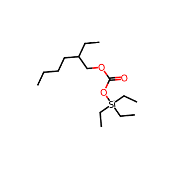 CCCCC(CC)COC(=O)O[Si](CC)(CC)CC